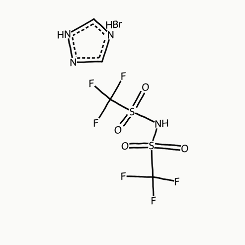 Br.O=S(=O)(NS(=O)(=O)C(F)(F)F)C(F)(F)F.c1nc[nH]n1